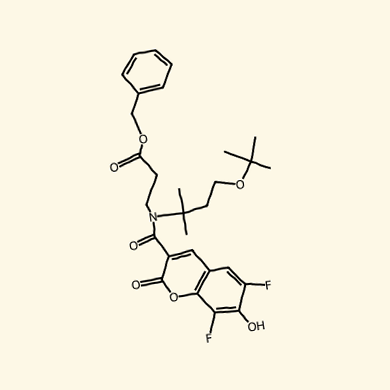 CC(C)(C)OCCC(C)(C)N(CCC(=O)OCc1ccccc1)C(=O)c1cc2cc(F)c(O)c(F)c2oc1=O